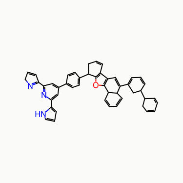 C1=CCC(C2C=CC=C(C3=Cc4c(oc5c4C=CCC5c4ccc(-c5cc(C6=NCC=C6)nc(-c6ccc[nH]6)c5)cc4)C4C=CC=CC34)C2)C=C1